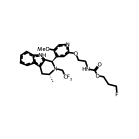 COc1cnc(OCCNC(=O)OCCCF)cc1[C@@H]1c2[nH]c3ccccc3c2C[C@@H](C)N1CC(F)(F)F